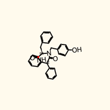 NC(=O)[C@@H](Cc1ccccc1)N(Cc1ccc(O)cc1)C(=O)C(c1ccccc1)c1ccccc1